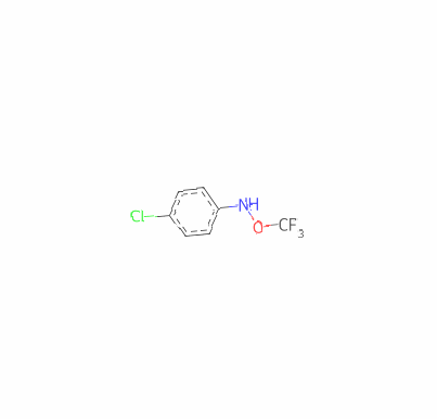 FC(F)(F)ONc1ccc(Cl)cc1